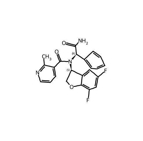 Cc1ncccc1C(=O)N([C@@H]1COc2c(F)cc(F)cc21)[C@@H](C(N)=O)c1ccccc1